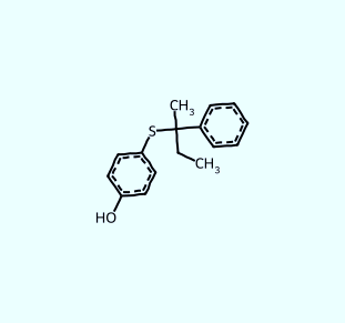 CCC(C)(Sc1ccc(O)cc1)c1ccccc1